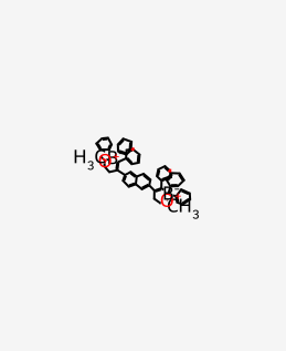 C[O+]1CCC(c2ccc3cc(C4=C(c5ccccc5)[B-](c5ccccc5)(c5ccccc5)[O+](C)CC4)ccc3c2)=C(c2ccccc2)[B-]1(c1ccccc1)c1ccccc1